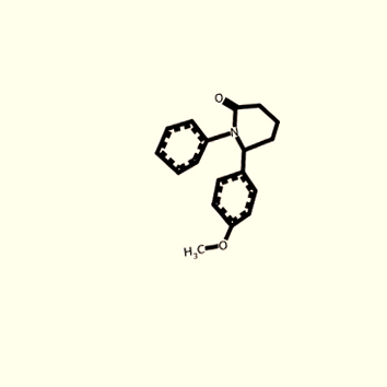 COc1ccc(C2CCCC(=O)N2c2ccccc2)cc1